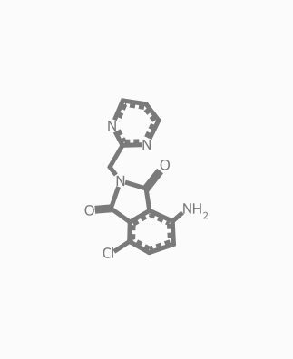 Nc1ccc(Cl)c2c1C(=O)N(Cc1ncccn1)C2=O